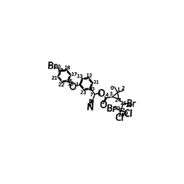 CC1(C)[C@H](C(=O)OC(C#N)c2cccc(Oc3ccc(Br)cc3)c2)[C@H]1C(Br)C(Cl)(Cl)Br